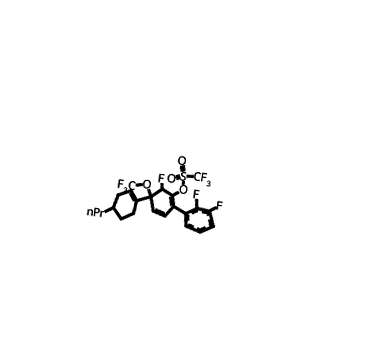 CCCC1CC=C(C2(OC(F)(F)F)C=CC(c3cccc(F)c3F)=C(OS(=O)(=O)C(F)(F)F)C2F)CC1